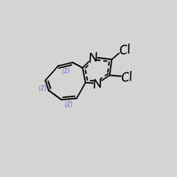 Clc1nc2c(nc1Cl)\C=C/C=C\C=C/2